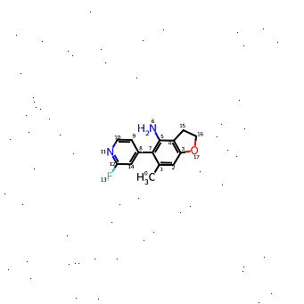 Cc1cc2c(c(N)c1-c1ccnc(F)c1)CCO2